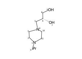 CC(C)N1CCN(C[C@@H](O)CO)CC1